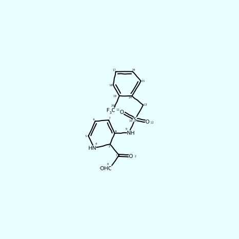 O=[C]C(=O)C1NC=CC=C1NS(=O)(=O)Cc1ccccc1C(F)(F)F